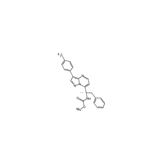 CC(C)(C)OC(=O)N[C@](C)(Cc1ccccc1)c1ccnc2c(-c3ccc(C(F)(F)F)cc3)cnn12